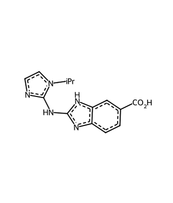 CC(C)n1ccnc1Nc1nc2ccc(C(=O)O)cc2[nH]1